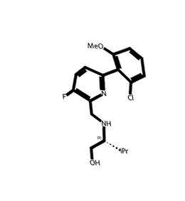 COc1cccc(Cl)c1-c1ccc(F)c(CN[C@@H](CO)C(C)C)n1